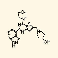 OC1CCN(Cc2cc3nc(-c4cccc5[nH]ncc45)nc(N4CCOCC4)c3s2)CC1